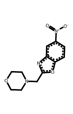 O=[N+]([O-])c1ccc2oc(CN3CCOCC3)nc2c1